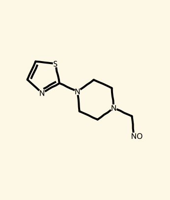 O=NCN1CCN(c2nccs2)CC1